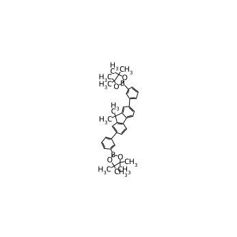 CC1(C)c2cc(-c3cccc(B4OC(C)(C)C(C)(C)O4)c3)ccc2-c2ccc(-c3cccc(B4OC(C)(C)C(C)(C)O4)c3)cc21